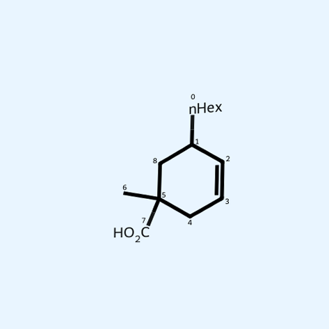 CCCCCCC1C=CCC(C)(C(=O)O)C1